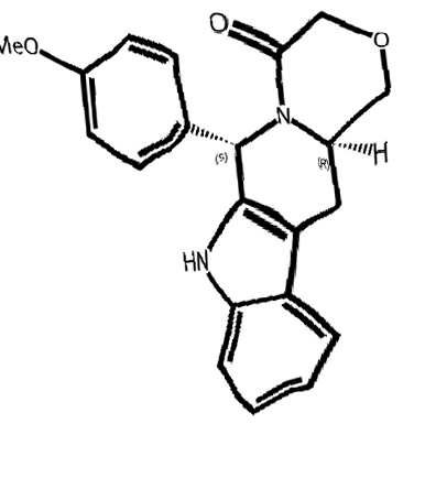 COc1ccc([C@H]2c3[nH]c4ccccc4c3C[C@@H]3COCC(=O)N32)cc1